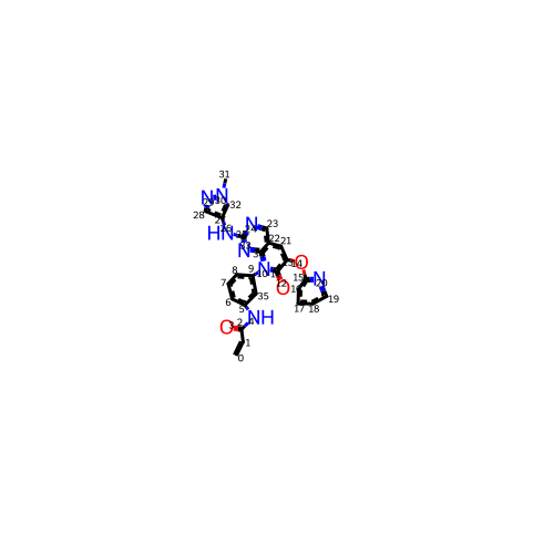 C=CC(=O)Nc1cccc(-n2c(=O)c(Oc3ccccn3)cc3cnc(Nc4cnn(C)c4)nc32)c1